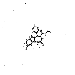 CCOC(=O)C1=C(c2ccncc2)c2[nH]c3ccc(F)cc3c2NC(=O)C1